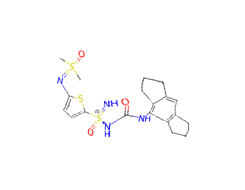 CS(C)(=O)=Nc1ccc([S@](=N)(=O)NC(=O)Nc2c3c(cc4c2CCC4)CCC3)s1